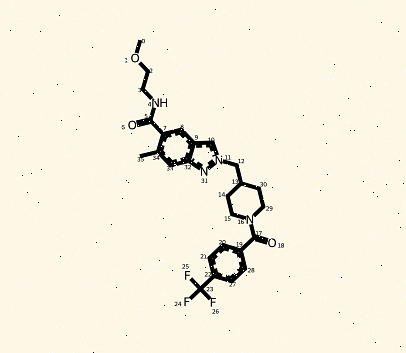 COCCNC(=O)c1cc2cn(CC3CCN(C(=O)c4ccc(C(F)(F)F)cc4)CC3)nc2cc1C